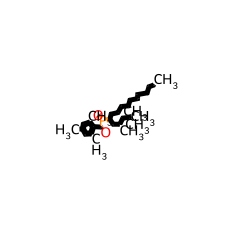 CCCCCCCCCCCC(CC(C)CC(C)(C)C)[P](=O)C(=O)c1c(C)cc(C)cc1C